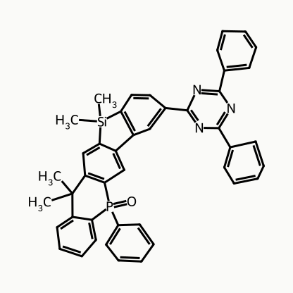 CC1(C)c2ccccc2P(=O)(c2ccccc2)c2cc3c(cc21)[Si](C)(C)c1ccc(-c2nc(-c4ccccc4)nc(-c4ccccc4)n2)cc1-3